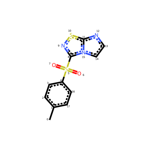 Cc1ccc(S(=O)(=O)c2nsc3nccn23)cc1